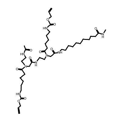 C=CCOC(=O)NCCCCCC(=O)N(CCNC(C)=O)CC(=O)NCCN(CC(=O)NCCCCCCCCCCC(=O)NC)C(=O)CCCCCNC(=O)OCC=C